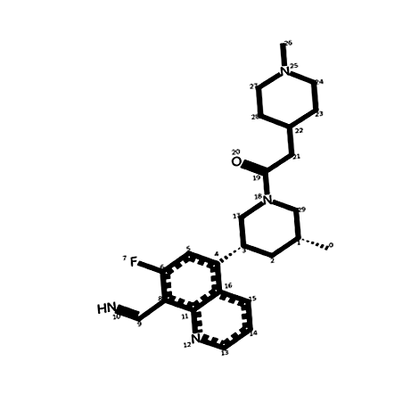 C[C@@H]1C[C@H](c2cc(F)c(C=N)c3ncccc23)CN(C(=O)CC2CCN(C)CC2)C1